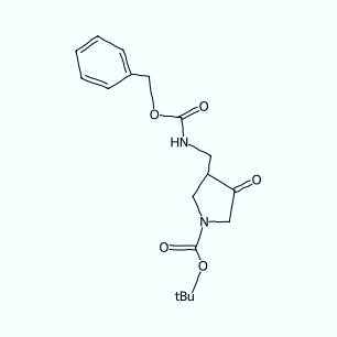 CC(C)(C)OC(=O)N1CC(=O)C(CNC(=O)OCc2ccccc2)C1